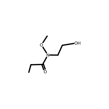 CCC(=O)N(CCO)OC